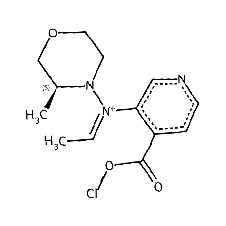 CC=[N+](c1cnccc1C(=O)OCl)N1CCOC[C@@H]1C